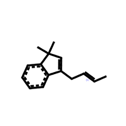 C/C=C/CC1=CC(C)(C)c2ccccc21